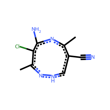 Cc1nc(N)c(Cl)c(C)n[nH]cc1C#N